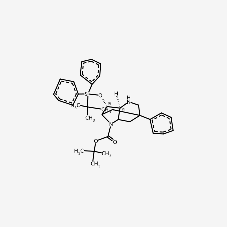 CC(C)(C)OC(=O)N1C2CC3(c4ccccc4)CN[C@@H]2[C@@H](O[Si](c2ccccc2)(c2ccccc2)C(C)(C)C)C1C3